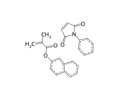 C=C(C)C(=O)Oc1ccc2ccccc2c1.O=C1C=CC(=O)N1c1ccccc1